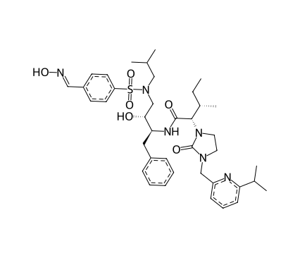 CC[C@H](C)[C@@H](C(=O)N[C@@H](Cc1ccccc1)[C@H](O)CN(CC(C)C)S(=O)(=O)c1ccc(/C=N/O)cc1)N1CCN(Cc2cccc(C(C)C)n2)C1=O